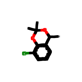 [CH2]C1OC(C)(C)Oc2c(Cl)cccc21